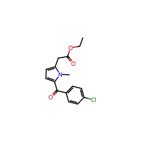 CCOC(=O)Cc1ccc(C(=O)c2ccc(Cl)cc2)n1C